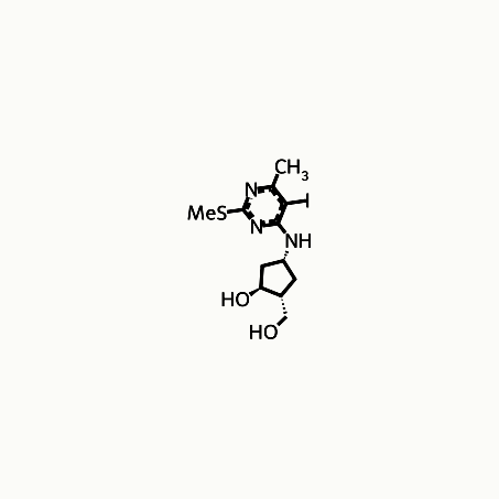 CSc1nc(C)c(I)c(N[C@@H]2C[C@H](CO)[C@@H](O)C2)n1